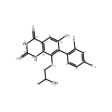 CC(O)CSc1c(-c2ccc(F)cc2F)c(Cl)cc2c(=O)[nH]c(=O)[nH]c12